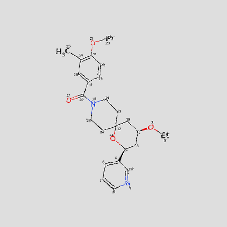 CCO[C@H]1C[C@@H](c2cccnc2)OC2(CCN(C(=O)c3ccc(OC(C)C)c(C)c3)CC2)C1